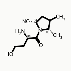 CC1C[C@@H](C#N)N(C(=O)[C@H](N)CCO)[C@H]1C